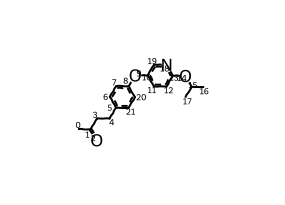 CC(=O)CCc1ccc(Oc2ccc(OC(C)C)nc2)cc1